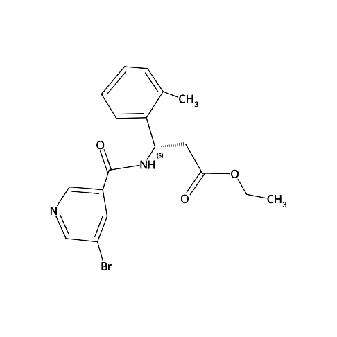 CCOC(=O)C[C@H](NC(=O)c1cncc(Br)c1)c1ccccc1C